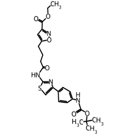 CCOC(=O)c1cc(CCCC(=O)Nc2nc(-c3ccc(NC(=O)OC(C)(C)C)cc3)cs2)on1